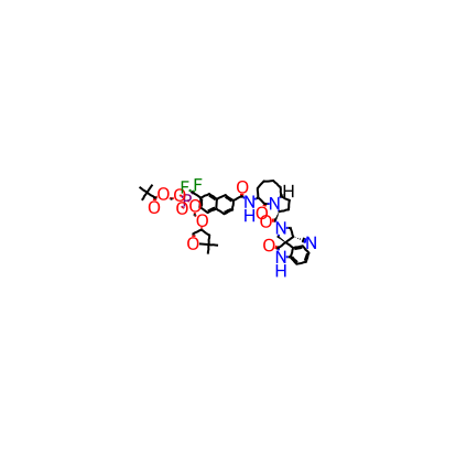 CC(C)(C)CC(C=O)OCOP(=O)(OCOC(=O)C(C)(C)C)C(F)(F)c1ccc2ccc(C(=O)NC3CCCC[C@H]4CC[C@@H](C(=O)N5C[C@H](C#N)[C@@]6(C5)C(=O)Nc5ccccc56)N4C3=O)cc2c1